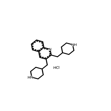 Cl.c1ccc2nc(CC3CCNCC3)c(CC3CCNCC3)cc2c1